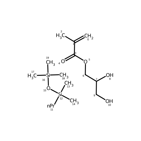 C=C(C)C(=O)OCC(O)CO.CCC[Si](C)(C)O[Si](C)(C)C